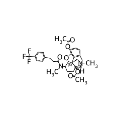 CC(=O)Oc1ccc2c3c1OC1C(N(C)C(=O)CCc4ccc(C(F)(F)F)cc4)CC[C@@]4(OC(C)=O)[C@@H](C2)N(C)CC[C@]314